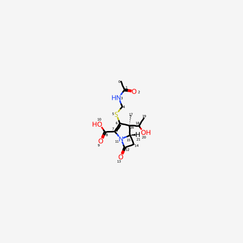 CC(=O)NCSC1=C(C(=O)O)N2C(=O)C[C@H]2[C@]1(C)C(C)O